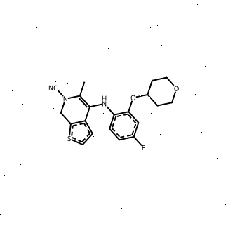 CC1=C(Nc2ccc(F)cc2OC2CCOCC2)c2ccsc2CN1C#N